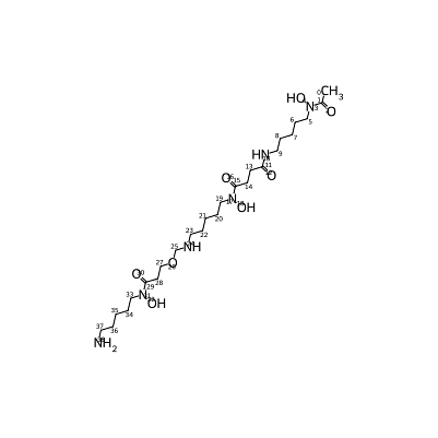 CC(=O)N(O)CCCCCNC(=O)CCC(=O)N(O)CCCCCNCOCCC(=O)N(O)CCCCCN